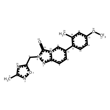 Cc1noc(Cn2nc3ccc(-c4ccc(OC(F)(F)F)cc4C)cn3c2=O)n1